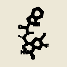 C[C@@H](c1n[nH]c(=O)c2cc(F)c(F)cc12)N(C)C(=O)c1cc2ccccc2[nH]1